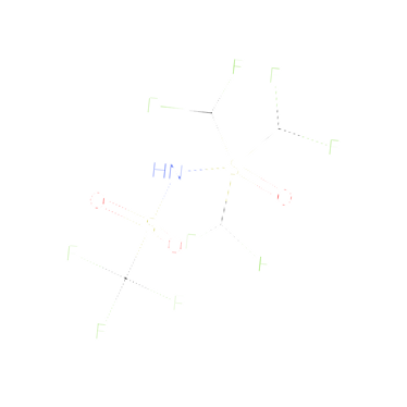 O=S(=O)(NS(=O)(C(F)F)(C(F)F)C(F)F)C(F)(F)F